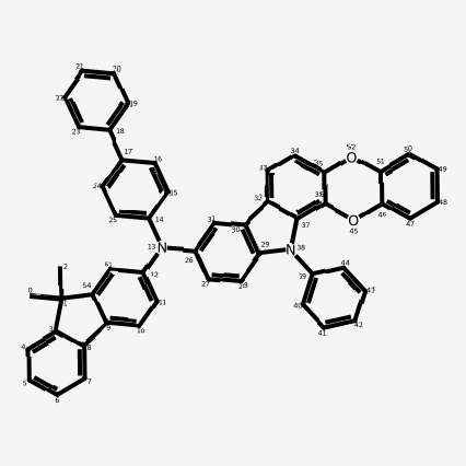 CC1(C)c2ccccc2-c2ccc(N(c3ccc(-c4ccccc4)cc3)c3ccc4c(c3)c3ccc5c(c3n4-c3ccccc3)Oc3ccccc3O5)cc21